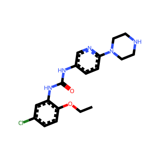 CCOc1ccc(Cl)cc1NC(=O)Nc1ccc(N2CCNCC2)nc1